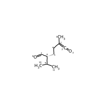 CC(=C=O)CC[C@@H](C=O)C(C)C